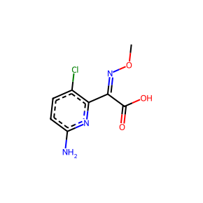 CON=C(C(=O)O)c1nc(N)ccc1Cl